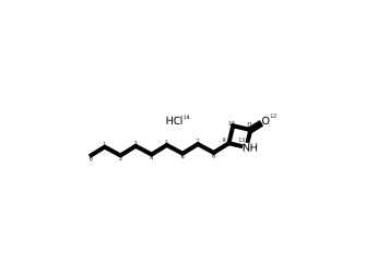 CCCCCCCCCC1CC(=O)N1.Cl